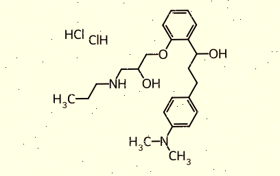 CCCNCC(O)COc1ccccc1C(O)CCc1ccc(N(C)C)cc1.Cl.Cl